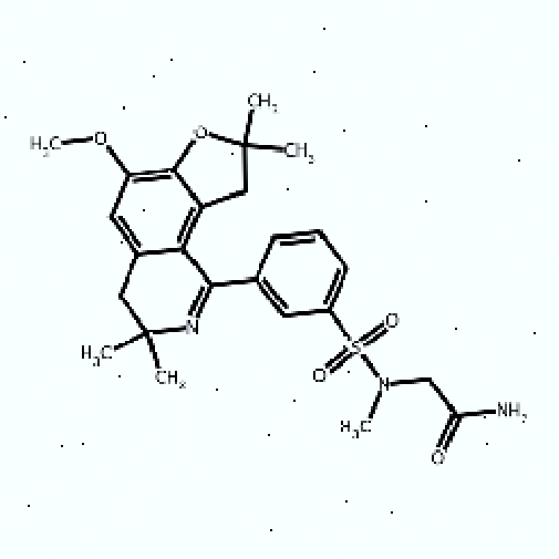 COc1cc2c(c3c1OC(C)(C)C3)C(c1cccc(S(=O)(=O)N(C)CC(N)=O)c1)=NC(C)(C)C2